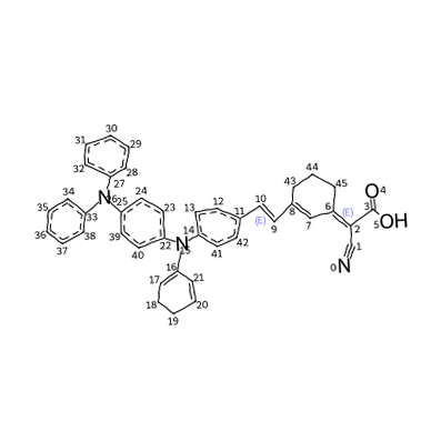 N#C/C(C(=O)O)=C1C=C(/C=C/c2ccc(N(C3=CCCC=C3)c3ccc(N(c4ccccc4)c4ccccc4)cc3)cc2)CCC\1